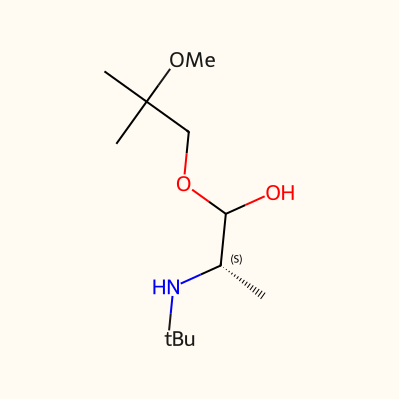 COC(C)(C)COC(O)[C@H](C)NC(C)(C)C